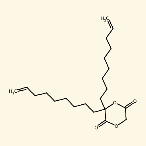 C=CCCCCCCCC1(CCCCCCCC=C)OC(=O)COC1=O